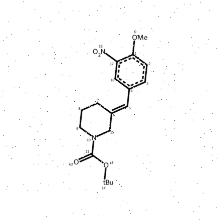 COc1ccc(C=C2CCCN(C(=O)OC(C)(C)C)C2)cc1[N+](=O)[O-]